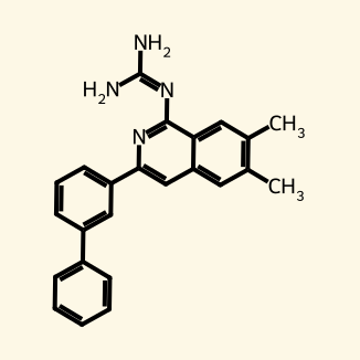 Cc1cc2cc(-c3cccc(-c4ccccc4)c3)nc(N=C(N)N)c2cc1C